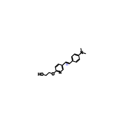 CN(C)c1ccc(/C=C/c2ccc(OCCO)nc2)cc1